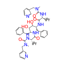 CC(C)[C@H](NC(=O)N(C)Cc1cccnc1)C(=O)N[C@@H](Cc1ccccc1)[C@H](O)[C@@H](O)[C@H](Cc1ccccc1)NC(=O)[C@@H](NC(=O)N(C)Cc1cccnc1)C(C)C